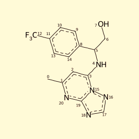 Cc1cc(NC(CO)c2ccc(C(F)(F)F)cc2)n2ncnc2n1